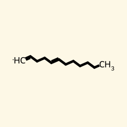 [CH]=CCCC=CCCCCCC